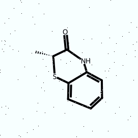 C[C@H]1Sc2ccccc2NC1=O